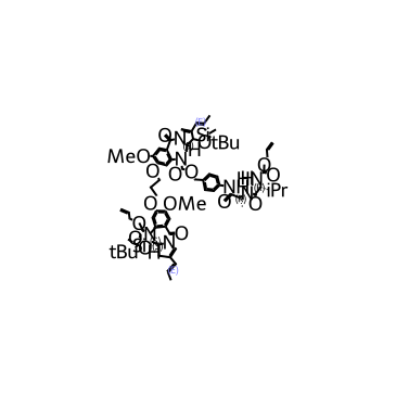 C=CCOC(=O)N[C@@H](C(=O)N[C@H](C)C(=O)Nc1ccc(COC(=O)N2C[C@H]3C(O[Si](C)(C)C(C)(C)C)C(/C=C/C)=CN3C(=O)c3cc(OC)c(OCCCOc4cc5c(cc4OC)C(=O)N4C=C(/C=C/C)C[C@H]4[C@H](O[Si](C)(C)C(C)(C)C)N5C(=O)OCC=C)cc32)cc1)C(C)C